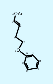 CC(=O)OC=CCCOc1ccccc1